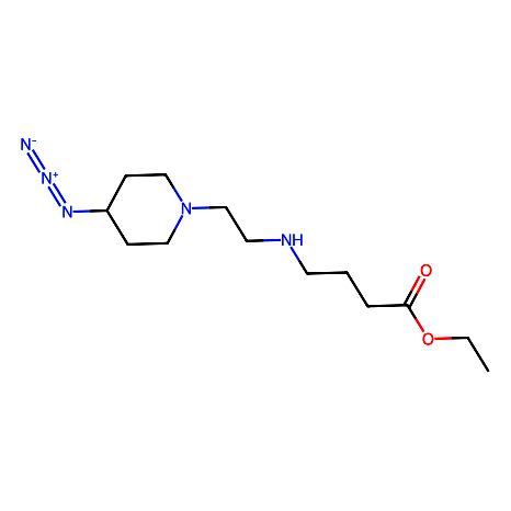 CCOC(=O)CCCNCCN1CCC(N=[N+]=[N-])CC1